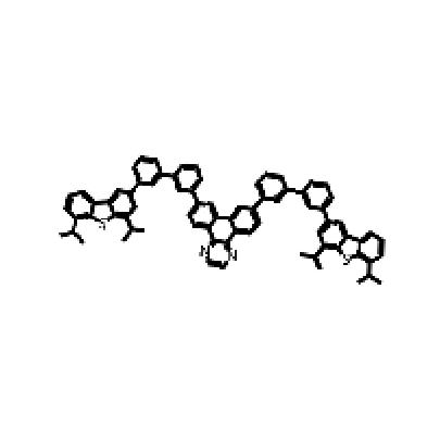 CC(C)c1cccc2c1sc1c(C(C)C)cc(-c3cccc(-c4cccc(-c5ccc6c(c5)c5cc(-c7cccc(-c8cccc(-c9cc(C(C)C)c%10sc%11c(C(C)C)cccc%11c%10c9)c8)c7)ccc5c5nccnc65)c4)c3)cc12